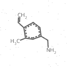 C=Cc1ccc(CN)cc1C